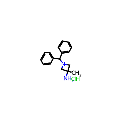 CC1(N)CN(C(c2ccccc2)c2ccccc2)C1.Cl